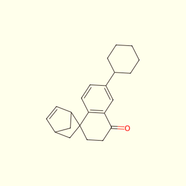 O=C1CCC2(CC3C=CC2C3)c2ccc(C3CCCCC3)cc21